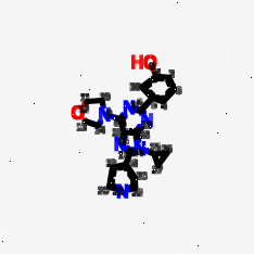 Oc1cccc(-c2nc(N3CCOCC3)c3nc(-c4ccncc4)n(C4CC4)c3n2)c1